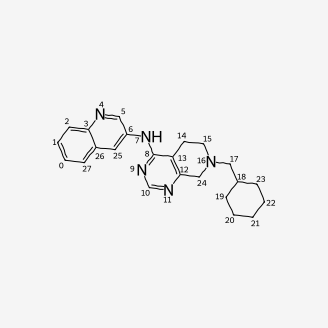 c1ccc2ncc(Nc3ncnc4c3CCN(CC3CCCCC3)C4)cc2c1